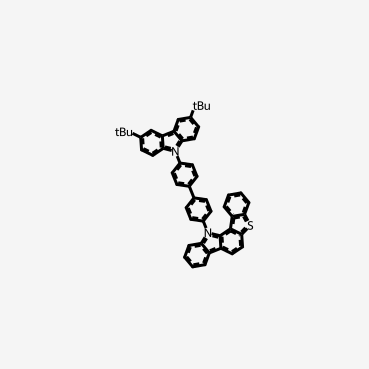 CC(C)(C)c1ccc2c(c1)c1cc(C(C)(C)C)ccc1n2-c1ccc(-c2ccc(-n3c4ccccc4c4ccc5sc6ccccc6c5c43)cc2)cc1